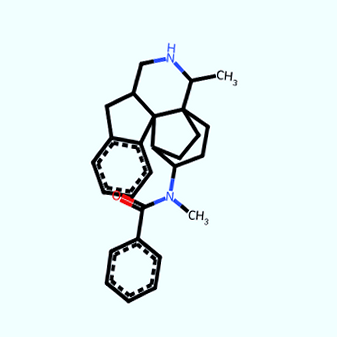 CC1NCC2Cc3ccccc3C23C2CCC13CCC2N(C)C(=O)c1ccccc1